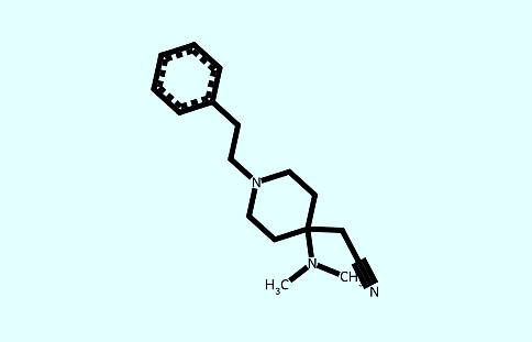 CN(C)C1(CC#N)CCN(CCc2ccccc2)CC1